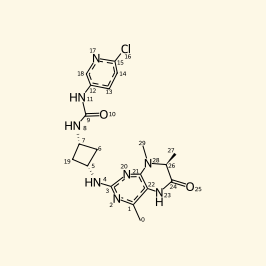 Cc1nc(N[C@H]2C[C@@H](NC(=O)Nc3ccc(Cl)nc3)C2)nc2c1NC(=O)[C@H](C)N2C